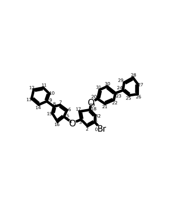 Brc1cc(Oc2ccc(-c3ccccc3)cc2)cc(Oc2ccc(-c3ccccc3)cc2)c1